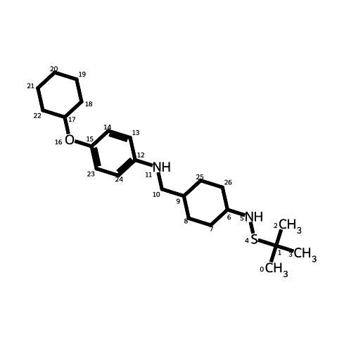 CC(C)(C)SNC1CCC(CNc2ccc(OC3CCCCC3)cc2)CC1